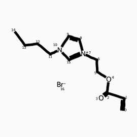 C=CC(=O)OCC[n+]1ccn(CCCC)c1.[Br-]